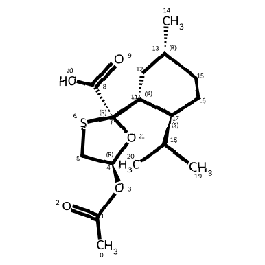 CC(=O)O[C@H]1CS[C@@](C(=O)O)([C@@H]2C[C@H](C)CC[C@H]2C(C)C)O1